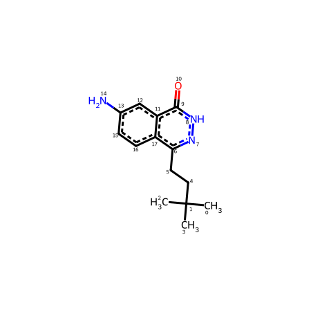 CC(C)(C)CCc1n[nH]c(=O)c2cc(N)ccc12